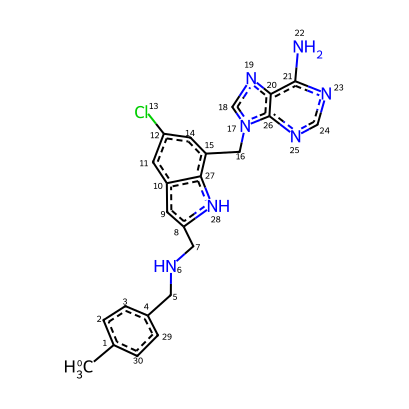 Cc1ccc(CNCc2cc3cc(Cl)cc(Cn4cnc5c(N)ncnc54)c3[nH]2)cc1